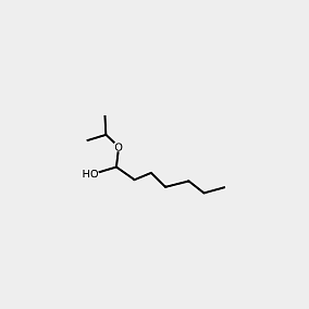 CCCCCCC(O)OC(C)C